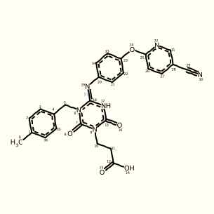 Cc1ccc(Cn2c(=O)n(CCC(=O)O)c(=O)[nH]/c2=N\c2ccc(Oc3ccc(C#N)cn3)cc2)cc1